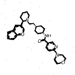 O=C(N[C@H]1CC[C@H](CCN2CCCCC2c2coc3cccc-3c2)CC1)c1ccc(N2CCOCC2)nc1